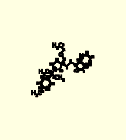 CCOCC1(CCc2scc3nccnc23)CCN(C(C)(C)c2ccc(C)nc2)C1